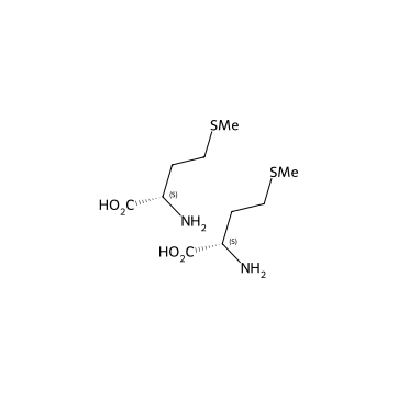 CSCC[C@H](N)C(=O)O.CSCC[C@H](N)C(=O)O